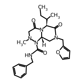 CCC(C)[C@H]1C(=O)N(Cc2ccco2)C[C@H]2N1C(=O)CN(C)N2C(=O)NCc1ccccc1